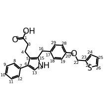 O=C(O)CCc1c(-c2ccccc2)c[nH]c1Cc1ccc(OCc2cccs2)cc1